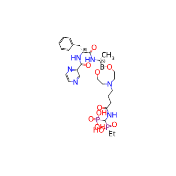 CCP(=O)(O)C(NC(=O)CCCN1CCOB([C@@H](C)NC(=O)[C@@H](Cc2ccccc2)NC(=O)c2cnccn2)OCC1)P(=O)(O)O